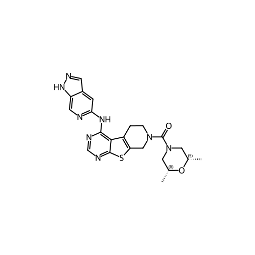 C[C@@H]1CN(C(=O)N2CCc3c(sc4ncnc(Nc5cc6cn[nH]c6cn5)c34)C2)C[C@H](C)O1